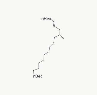 [CH2]CCCCCC=CCC(C)CCCCCCCCCCCCCCCCCC[CH2]